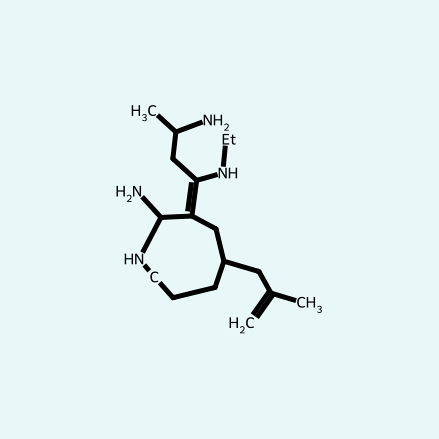 C=C(C)CC1CCCNC(N)/C(=C(\CC(C)N)NCC)C1